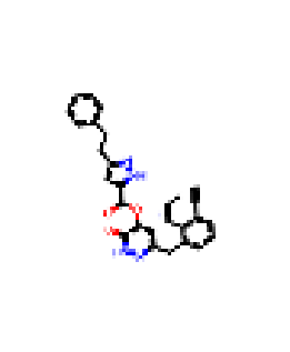 C#Cc1cccc(Cc2cc(OC(=O)c3cc(CCc4ccccc4)n[nH]3)c(=O)[nH]n2)c1/C=C\C